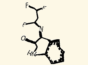 O=C1Nc2ccccc2C1=NC(F)C(F)F